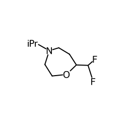 CC(C)N1CCOC(C(F)F)CC1